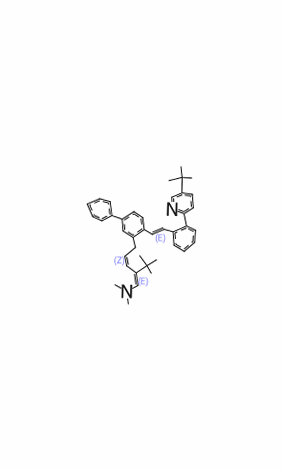 CN(C)/C=C(\C=C/Cc1cc(-c2ccccc2)ccc1/C=C/c1ccccc1-c1ccc(C(C)(C)C)cn1)C(C)(C)C